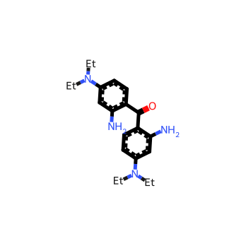 CCN(CC)c1ccc(C(=O)c2ccc(N(CC)CC)cc2N)c(N)c1